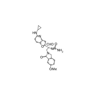 COc1ccc2c(c1)C(=O)N(C[C@](C=O)(NC(N)=O)c1cc3nc(NC4CC4)ccc3o1)C2